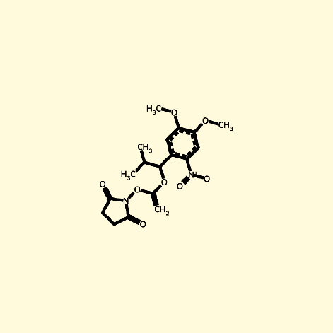 C=C(OC(c1cc(OC)c(OC)cc1[N+](=O)[O-])C(C)C)ON1C(=O)CCC1=O